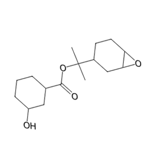 CC(C)(OC(=O)C1CCCC(O)C1)C1CCC2OC2C1